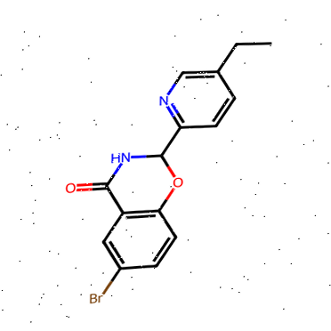 CCc1ccc(C2NC(=O)c3cc(Br)ccc3O2)nc1